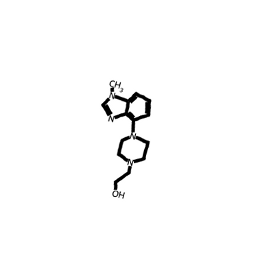 Cn1cnc2c(N3CCN(CCO)CC3)cccc21